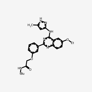 CCOc1ccc2nc(-c3cccc(OCC(=O)NC(C)(C)C)c3)nc(Nc3cc(C)[nH]n3)c2c1